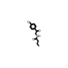 O=C(CCI)NCC(=O)c1ccc(Cl)cc1